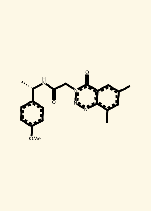 COc1ccc([C@H](C)NC(=O)Cn2nnc3c(C)cc(C)cc3c2=O)cc1